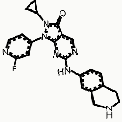 O=c1c2cnc(Nc3ccc4c(c3)CNCC4)nc2n(-c2ccnc(F)c2)n1C1CC1